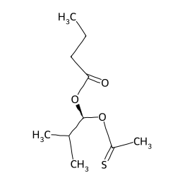 CCCC(=O)O[C@@H](OC(C)=S)C(C)C